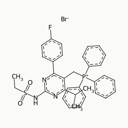 CCS(=O)(=O)Nc1nc(-c2ccc(F)cc2)c(C[P+](c2ccccc2)(c2ccccc2)c2ccccc2)c(C(C)C)n1.[Br-]